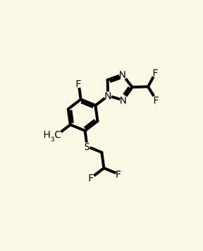 Cc1cc(F)c(-n2cnc(C(F)F)n2)cc1SCC(F)F